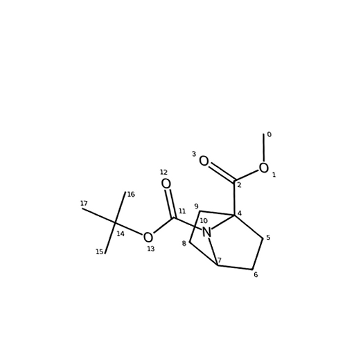 COC(=O)C12CCC(CC1)N2C(=O)OC(C)(C)C